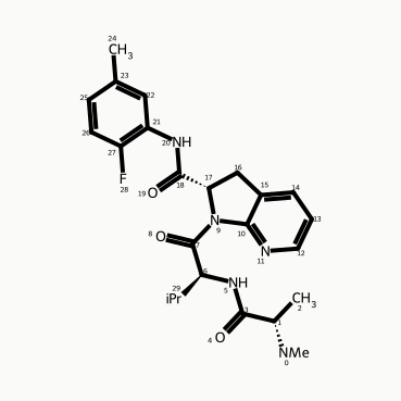 CN[C@@H](C)C(=O)N[C@H](C(=O)N1c2ncccc2C[C@H]1C(=O)Nc1cc(C)ccc1F)C(C)C